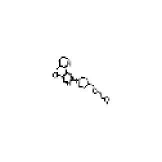 COCCOCC1CCN(c2cc(C3=NCCC=C3C)c(Cl)cn2)CC1